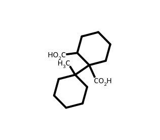 CC1(C2(C(=O)O)CCCCC2C(=O)O)CCCCC1